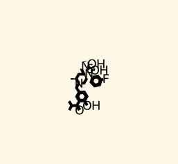 CC(C)C(=O)c1cc(CN2CC[C@@]3(C[C@@H]2C)CN(C)S(O)(O)N3c2cccc(F)c2)ccc1O